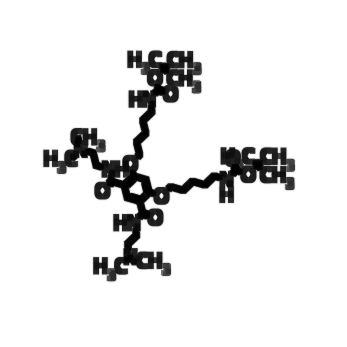 CN(C)CCNC(=O)c1cc(C(=O)NCCN(C)C)c(OCCCCCNC(=O)OC(C)(C)C)cc1OCCCCCNC(=O)OC(C)(C)C